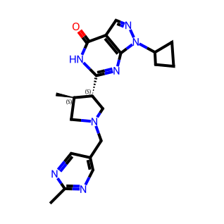 Cc1ncc(CN2C[C@@H](C)[C@H](c3nc4c(cnn4C4CCC4)c(=O)[nH]3)C2)cn1